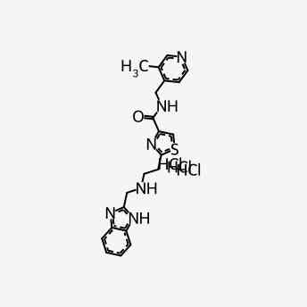 Cc1cnccc1CNC(=O)c1csc(CCNCc2nc3ccccc3[nH]2)n1.Cl.Cl.Cl